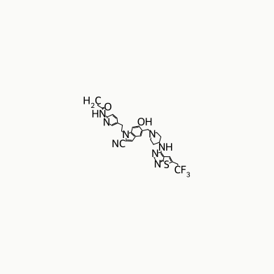 C=CC(=O)Nc1ccc(CCn2c(C#N)cc3cc(CN4CCC(Nc5ncnc6sc(CC(F)(F)F)cc56)CC4)c(O)cc32)cn1